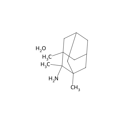 CC12CC3CC(C1)CC(C)(C3)C2(C)N.O